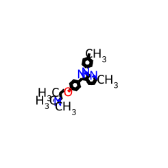 Cc1ccc(-n2nc(-c3ccc(OCC(C)CN(C)C)cc3)c3ccc(C)nc32)cc1